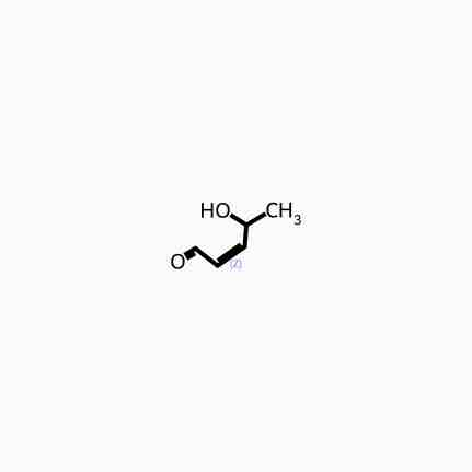 CC(O)/C=C\C=O